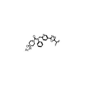 CC(=O)N=S1(=O)CCN(C(=O)N(Cc2ccc(-c3nnc(C(F)F)o3)cn2)c2ccccc2)CC1